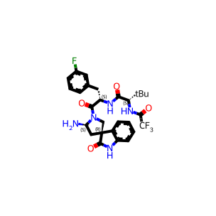 CC(C)(C)[C@H](NC(=O)C(F)(F)F)C(=O)N[C@@H](Cc1cccc(F)c1)C(=O)N1C[C@]2(C[C@H]1N)C(=O)Nc1ccccc12